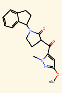 CCCCOc1cc(C(=O)C2CCN(C3CCc4ccccc43)C2=O)n(C)n1